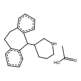 CC(=O)O.c1ccc2c(c1)CCc1ccccc1C2C1CCCNC1